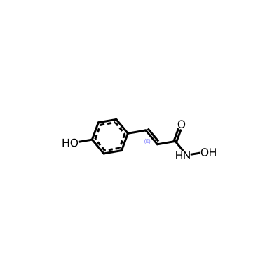 O=C(/C=C/c1ccc(O)cc1)NO